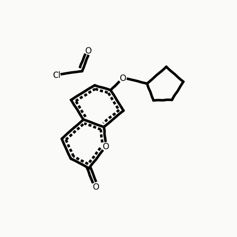 O=CCl.O=c1ccc2ccc(OC3CCCC3)cc2o1